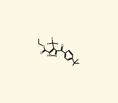 CCOC(=O)c1[nH]nc(C(=O)c2ccc(C(C)(C)C)cc2)c1C(F)(F)F